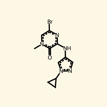 Cn1cc(Br)nc(Nc2cnn(C3CC3)c2)c1=O